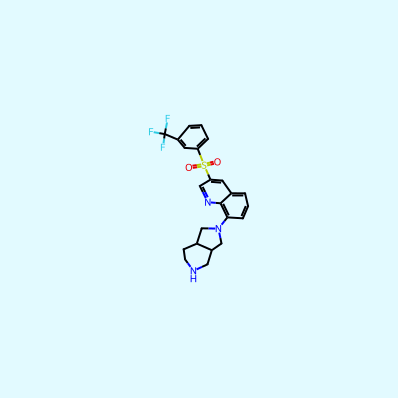 O=S(=O)(c1cccc(C(F)(F)F)c1)c1cnc2c(N3CC4CCNCC4C3)cccc2c1